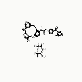 Cc1oncc1C(=O)N1CC[C@@H](CC(=O)Nc2ccc3cc2CCc2cncc(c2)Nc2ncc(Cl)c(n2)N3)C1.O=C(O)C(F)(F)F.O=C(O)C(F)(F)F